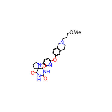 COCCCN1CCc2cc(Oc3ccc(N4CCCC45C(=O)NC(=O)NC5=O)cn3)ccc2C1